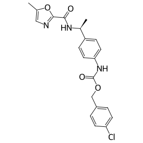 Cc1cnc(C(=O)N[C@@H](C)c2ccc(NC(=O)OCc3ccc(Cl)cc3)cc2)o1